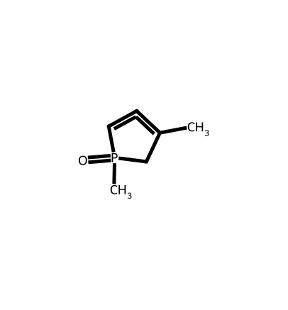 CC1=C=CP(C)(=O)C1